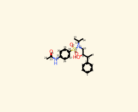 C[C](c1ccccc1)[C@@H](O)CN(C(C)C)S(=O)(=O)c1ccc(NC(C)=O)cc1